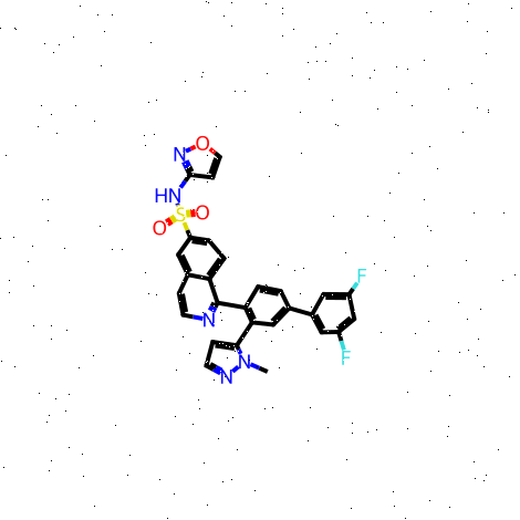 Cn1nccc1-c1cc(-c2cc(F)cc(F)c2)ccc1-c1nccc2cc(S(=O)(=O)Nc3ccon3)ccc12